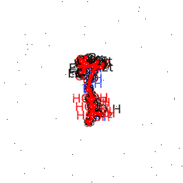 CCCCOCC1O[C@@H](OCC2O[C@@H](OCCNC(=O)CCC(=O)NCc3cn(CCO[C@@H]4OC(CO)[C@@H](O[C@@H]5OC(CO)[C@H](O)C(O[C@]6(C(=O)O)C[C@@H](O)[C@@H](NC(=O)Cc7ccccc7)C([C@H](O)[C@H](O)CO)O6)[C@@H]5O)C(O)[C@@H]4O)nn3)[C@@H](NC(=O)C[C@@H](CC)OC(=O)CC)C(OC(=O)CC)[C@@H]2OCCCC)[C@@H](NC(=O)C[C@@H](CC)OC(=O)CC)C(OC(=O)CC)[C@@H]1OP(=O)(OCCCC)OCCCC